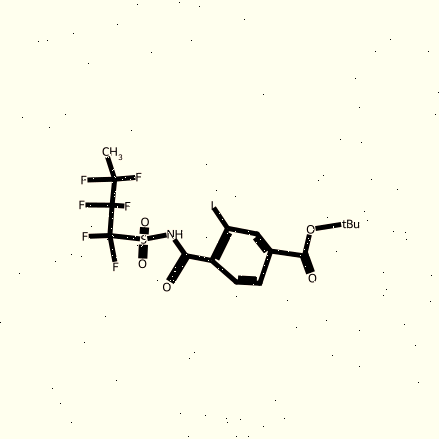 CC(C)(C)OC(=O)c1ccc(C(=O)NS(=O)(=O)C(F)(F)C(F)(F)C(C)(F)F)c(I)c1